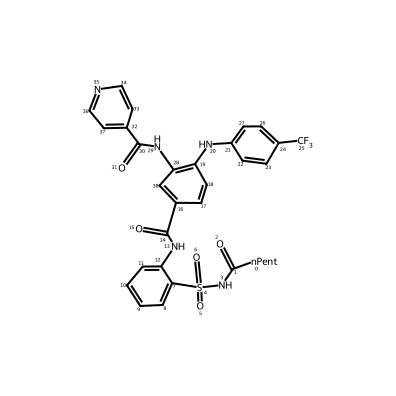 CCCCCC(=O)NS(=O)(=O)c1ccccc1NC(=O)c1ccc(Nc2ccc(C(F)(F)F)cc2)c(NC(=O)c2ccncc2)c1